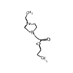 CCCOC(=O)N1CCN(CC)CC1